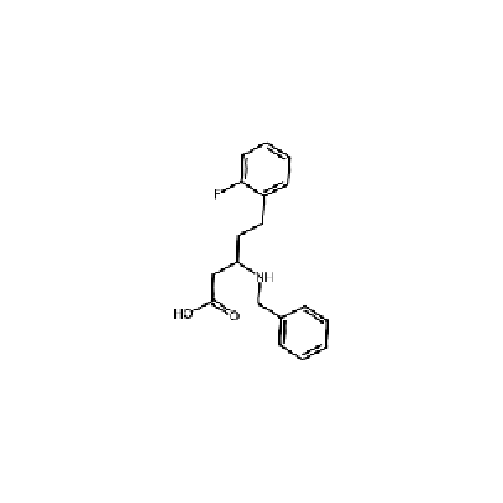 O=C(O)CC(CCc1ccccc1F)NCc1ccccc1